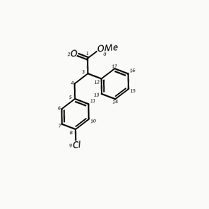 COC(=O)C(Cc1ccc(Cl)cc1)c1ccccc1